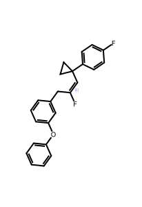 F/C(=C/C1(c2ccc(F)cc2)CC1)Cc1cccc(Oc2ccccc2)c1